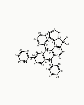 CC1(C)c2ccccc2-c2c1ccc1c2N(c2ccccc2)c2cc(-c3ccccn3)ccc2N1c1ccccc1